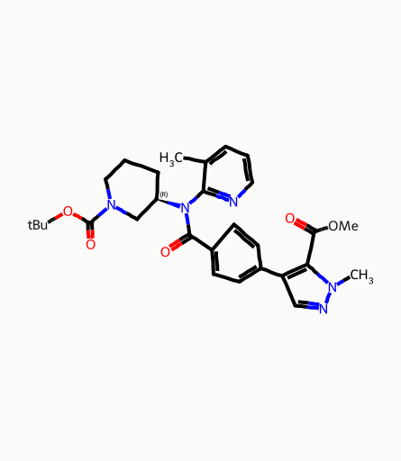 COC(=O)c1c(-c2ccc(C(=O)N(c3ncccc3C)[C@@H]3CCCN(C(=O)OC(C)(C)C)C3)cc2)cnn1C